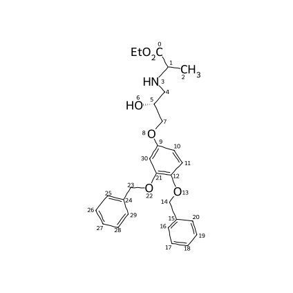 CCOC(=O)C(C)NC[C@@H](O)COc1ccc(OCc2ccccc2)c(OCc2ccccc2)c1